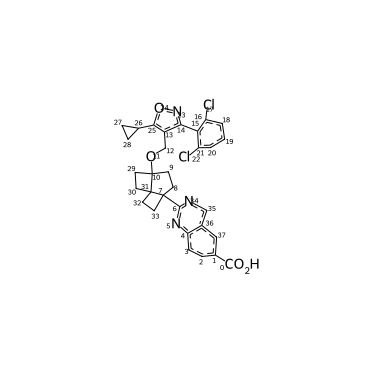 O=C(O)c1ccc2nc(C34CCC5(OCc6c(-c7c(Cl)cccc7Cl)noc6C6CC6)CCC53CC4)ncc2c1